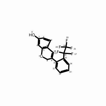 Oc1ccc2c(c1)OCC(c1ccccc1C(F)(F)C(F)(F)F)=C2